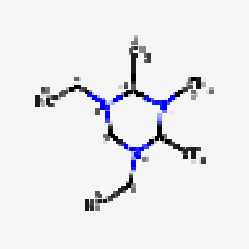 CN1C(C(F)(F)F)N(CC#N)CN(CC#N)C1C(F)(F)F